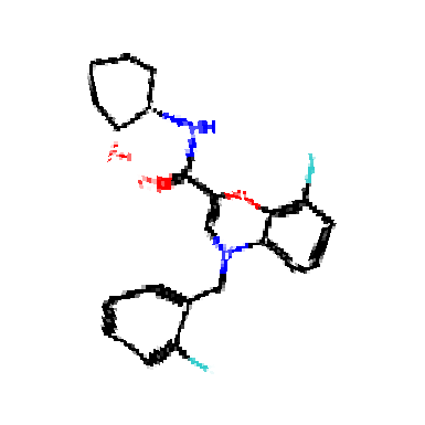 O=C(N[C@@H]1CCCC[C@H]1O)C1=CN(Cc2ccccc2F)c2cccc(F)c2O1